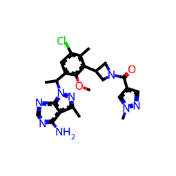 COc1c(C(C)n2nc(C)c3c(N)ncnc32)cc(Cl)c(C)c1C1CN(C(=O)c2cnn(C)c2)C1